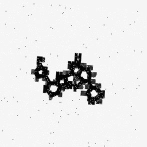 Fc1ccc(-c2nccc3[nH]c(-c4n[nH]c5ccc(-c6cncnc6)c(F)c45)nc23)s1